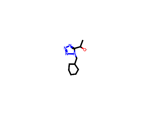 CC([O])c1nnnn1CC1CCCCC1